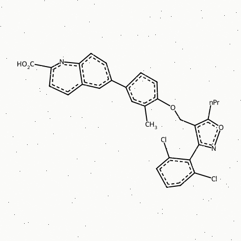 CCCc1onc(-c2c(Cl)cccc2Cl)c1COc1ccc(-c2ccc3nc(C(=O)O)ccc3c2)cc1C